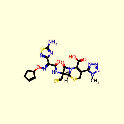 Cn1nnnc1C1=C(C(=O)O)N2C(=O)C(C=S)(NC(=O)C(=NOC3C=CCC3)c3nsc(N)n3)[C@@H]2SC1